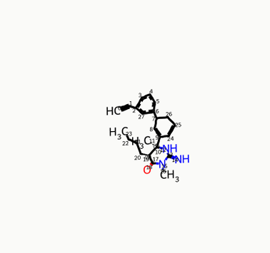 C#Cc1cccc(C2C=C([C@@]3(C)NC(=N)N(C)C(=O)[C@H]3CCCC)C=CC2)c1